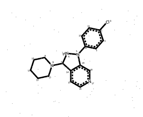 Clc1ccc(N2NC(N3CCCCC3)c3ccncc32)cc1